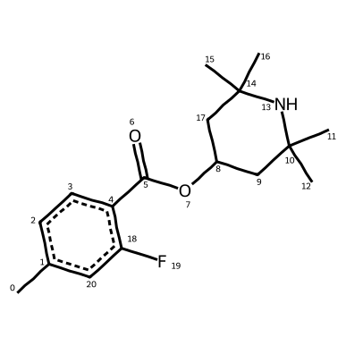 Cc1ccc(C(=O)OC2CC(C)(C)NC(C)(C)C2)c(F)c1